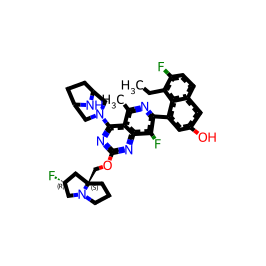 CCc1c(F)ccc2cc(O)cc(-c3nc(C)c4c(N5CC6CCC(C5)N6)nc(OC[C@@]56CCCN5C[C@H](F)C6)nc4c3F)c12